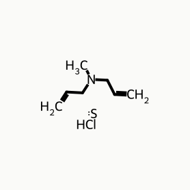 C=CCN(C)CC=C.Cl.[S]